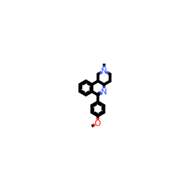 COc1ccc(C2=NC3CCN(C)CC3c3ccccc32)cc1